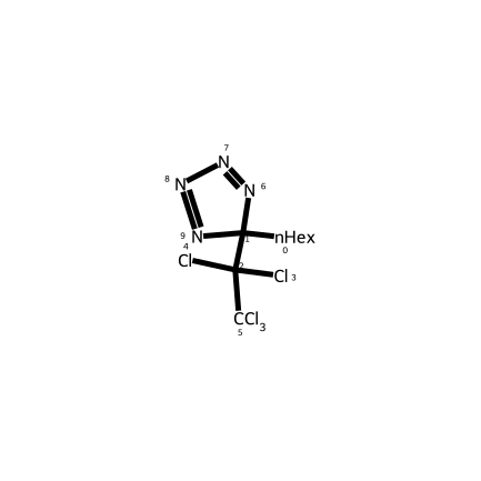 CCCCCCC1(C(Cl)(Cl)C(Cl)(Cl)Cl)N=NN=N1